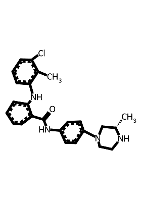 Cc1c(Cl)cccc1Nc1ccccc1C(=O)Nc1ccc(N2CCN[C@@H](C)C2)cc1